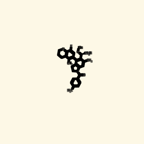 Cc1ccc(C(=O)N2CCc3c2cc(C)c([C@H](OC(C)(C)C)C(=O)O)c3-c2cc(F)c3c(c2C)CCCO3)cc1